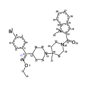 CCO/N=C(/c1ccc(Br)cc1)C1CCN(C2(C)CCN(C(=O)c3cc4ccccc4n3C)CC2)CC1